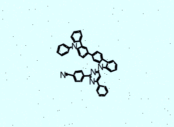 N#Cc1ccc(-c2nc(-c3ccccc3)cc(-n3c4ccccc4c4ccc(-c5ccc6c(c5)c5ccccc5n6-c5ccccc5)cc43)n2)cc1